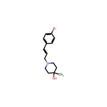 CC1(O)CCN(C/C=C/c2ccc(Br)cc2)CC1